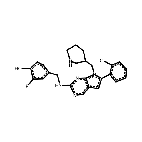 Oc1ccc(CNc2ncc3cc(-c4ccccc4Cl)n(CC4CCCNC4)c3n2)cc1F